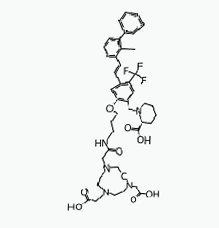 Cc1c(/C=C/c2cc(OCCCNC(=O)CN3CCN(CC(=O)O)CCN(CC(=O)O)CC3)c(CN3CCCC[C@H]3C(=O)O)cc2C(F)(F)F)cccc1-c1ccccc1